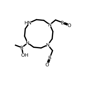 CB(O)N1CCNCCN(CB=O)CCN(CB=O)CC1